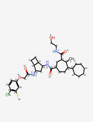 CC1C(C(=O)NCCO)CC(C(=O)NC2CC(NC(=O)COc3ccc(Cl)c(F)c3)C3CCC23)CCC1C1CCCCCC1